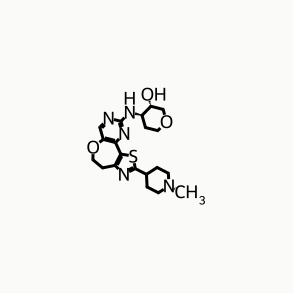 CN1CCC(c2nc3c(s2)-c2nc(N[C@@H]4CCOC[C@H]4O)ncc2OCC3)CC1